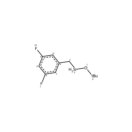 CC(C)(C)O[SiH2]Cc1cc(F)cc(F)c1